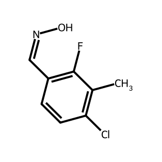 Cc1c(Cl)ccc(/C=N\O)c1F